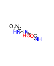 O=[N+]([O-])c1ccc2c(C3CCN(C[C@H](O)COc4cccc5[nH]ccc45)CC3)c[nH]c2c1